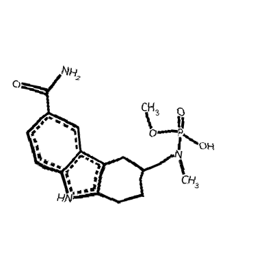 COP(=O)(O)N(C)C1CCc2[nH]c3ccc(C(N)=O)cc3c2C1